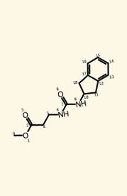 COC(=O)CCNC(=O)NC1Cc2ccccc2C1